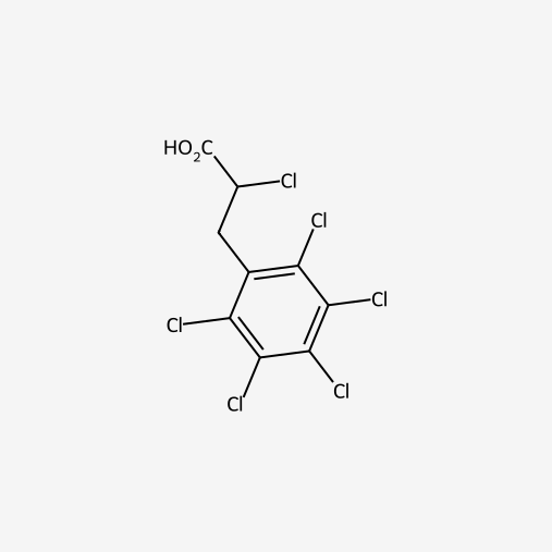 O=C(O)C(Cl)Cc1c(Cl)c(Cl)c(Cl)c(Cl)c1Cl